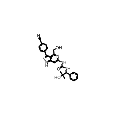 CC(C)(O)C(NC(=O)Nc1cc2[nH]nc(-c3ccc(C#N)cc3)c2c(CO)n1)c1ccccc1